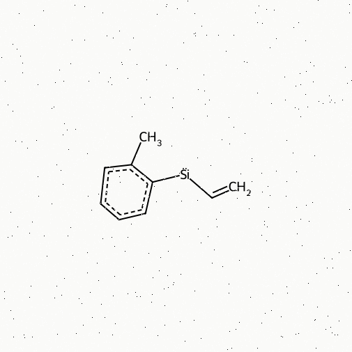 C=C[Si]c1ccccc1C